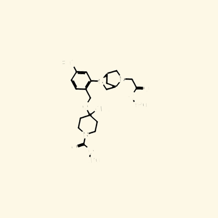 CC(C)(C)OC(=O)CN1CC2CC1CN2c1cc(C(F)(F)F)ccc1COC1(C)CCN(C(=O)OC(C)(C)C)CC1